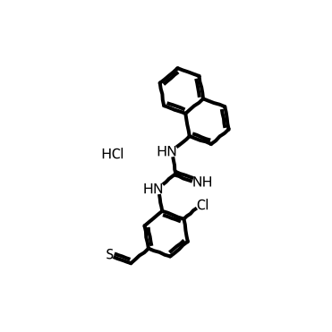 Cl.N=C(Nc1cc(C=S)ccc1Cl)Nc1cccc2ccccc12